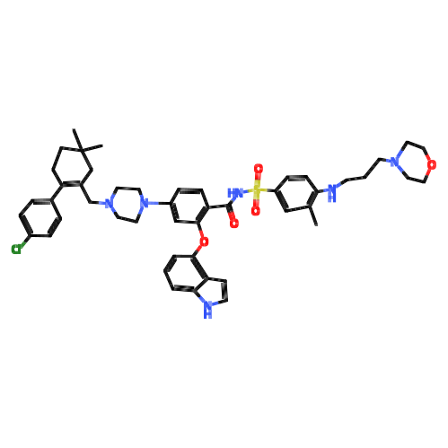 Cc1cc(S(=O)(=O)NC(=O)c2ccc(N3CCN(CC4=C(c5ccc(Cl)cc5)CCC(C)(C)C4)CC3)cc2Oc2cccc3[nH]ccc23)ccc1NCCCN1CCOCC1